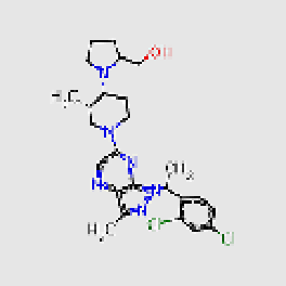 Cc1nn(C(C)c2ccc(Cl)cc2Cl)c2nc(N3CC[C@@H](N4CCCC4CO)[C@@H](C)C3)cnc12